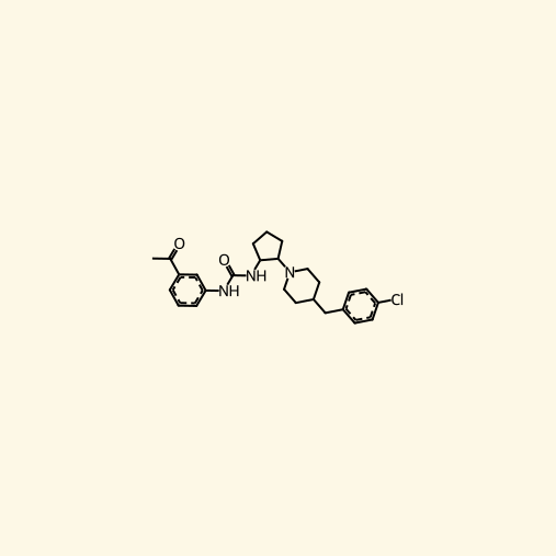 CC(=O)c1cccc(NC(=O)NC2CCCC2N2CCC(Cc3ccc(Cl)cc3)CC2)c1